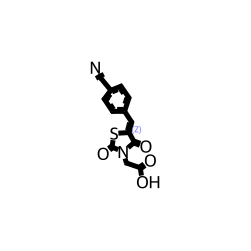 N#Cc1ccc(/C=C2\SC(=O)N(CC(=O)O)C2=O)cc1